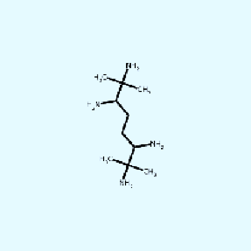 CC(C)(N)C(N)CCC(N)C(C)(C)N